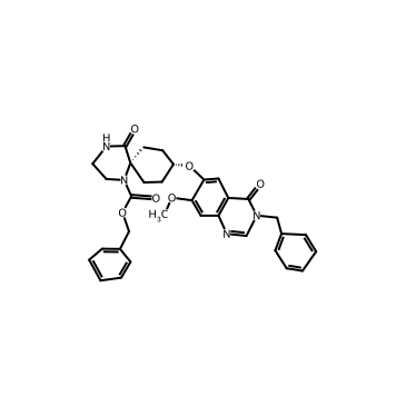 COc1cc2ncn(Cc3ccccc3)c(=O)c2cc1O[C@H]1CC[C@@]2(CC1)C(=O)NCCN2C(=O)OCc1ccccc1